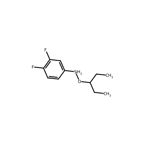 CCC(CC)O[SiH2]c1ccc(F)c(F)c1